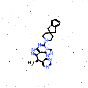 C=C(c1cncnc1)c1n[nH]c2nc(N3CCC4(CC3)Cc3ccccc3C4)n3cnnc3c12